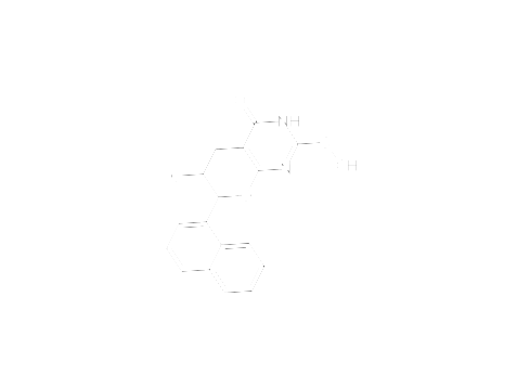 CSc1nc2c(c(=O)[nH]1)CC(C)C(c1cccc3ccccc13)O2